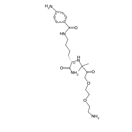 CC(C)(N[C@@H](CCCCNC(=O)c1ccc(N)cc1)C(N)=O)C(=O)COCCOCCN